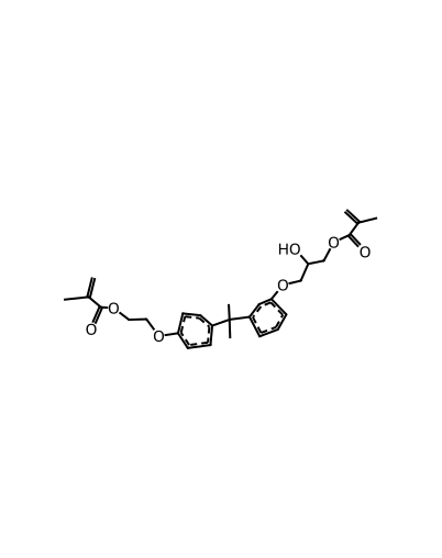 C=C(C)C(=O)OCCOc1ccc(C(C)(C)c2cccc(OCC(O)COC(=O)C(=C)C)c2)cc1